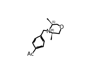 CC(=O)c1ccc(CN2[C@H](C)COC[C@@H]2C)cc1